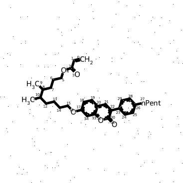 C=CC(=O)OCCCC(C)C(C)CCCCOc1ccc2cc(-c3ccc(CCCCC)cc3)c(=O)oc2c1